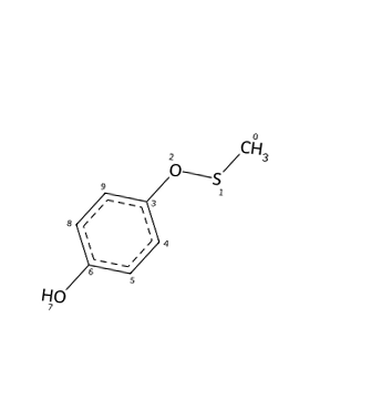 CSOc1ccc(O)cc1